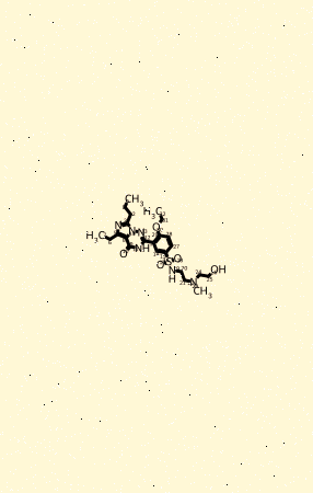 CCCc1nc(CC)c2c(=O)[nH]c(-c3cc(S(=O)(=O)NCCN(C)CCO)ccc3OCC)nn12